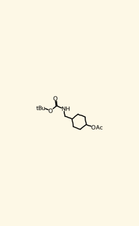 CC(=O)OC1CCC(CNC(=O)OC(C)(C)C)CC1